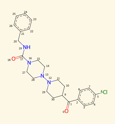 O=C(c1ccc(Cl)cc1)C1CCN(N2CCN(C(=O)NCc3ccccc3)CC2)CC1